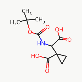 CC(C)(C)OC(=O)NC(C(=O)O)C1(C(=O)O)CC1